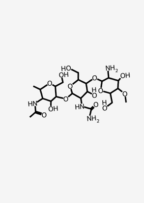 COC1C(CO)OC(OC2C(CO)OC(OC3C(CO)OC(C)C(NC(C)=O)C3O)C(NC(N)=O)C2O)C(N)C1O